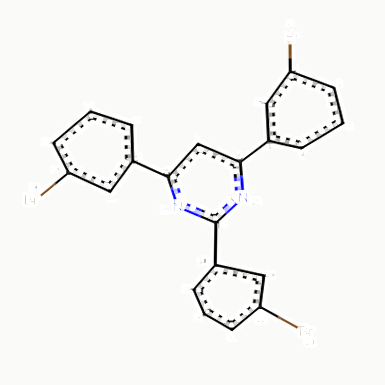 Brc1cccc(-c2cc(-c3cccc(Br)c3)nc(-c3cccc(Br)c3)n2)c1